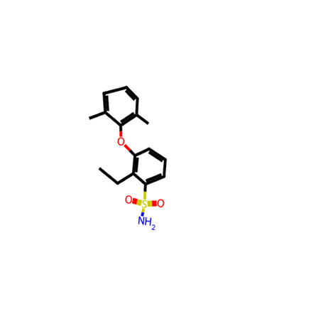 CCc1c(Oc2c(C)cccc2C)cccc1S(N)(=O)=O